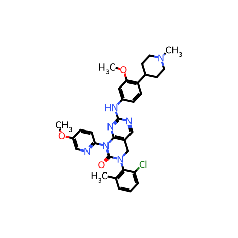 COc1ccc(N2C(=O)N(c3c(C)cccc3Cl)Cc3cnc(Nc4ccc(C5CCN(C)CC5)c(OC)c4)nc32)nc1